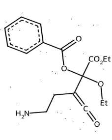 CCOC(=O)C(OCC)(OC(=O)c1ccccc1)C(=C=O)CCN